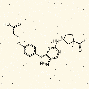 O=C(O)CCOc1ccc(-n2nnc3cnc(N[C@@H]4CC[C@@H](C(=O)I)C4)nc32)cc1